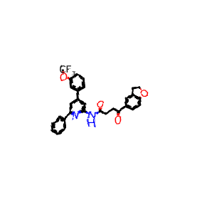 O=C(CCC(=O)c1ccc2c(c1)CCO2)Nc1cc(-c2cccc(OC(F)(F)F)c2)cc(-c2ccccc2)n1